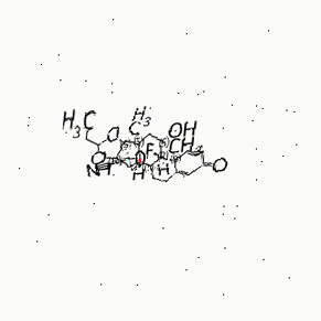 CCC1O[C@@H]2C[C@H]3[C@@H]4CCC5=CC(=O)C=C[C@]5(C)[C@@]4(F)[C@@H](O)C[C@]3(C)[C@]2(C2(C#N)CO2)O1